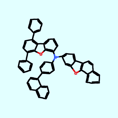 c1ccc(-c2ccc(-c3ccccc3)c3c2oc2c(N(c4ccc(-c5cccc6ccccc56)cc4)c4ccc5c(c4)oc4c6ccccc6ccc54)cccc23)cc1